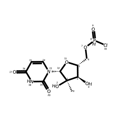 C[C@@]1(O)[C@H](O)[C@@H](CO[PH](=O)Cl)O[C@H]1n1ccc(=O)[nH]c1=O